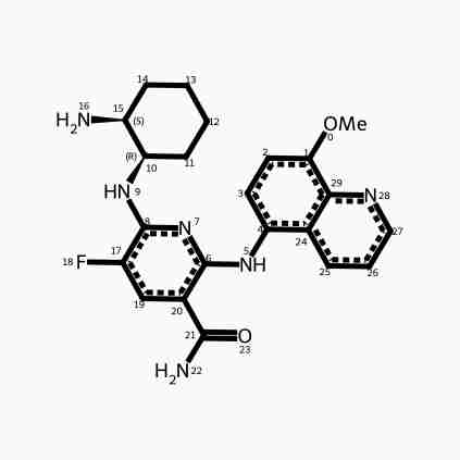 COc1ccc(Nc2nc(N[C@@H]3CCCC[C@@H]3N)c(F)cc2C(N)=O)c2cccnc12